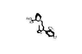 Cc1ccsc1C(=CCCN1CCCC(C(=O)O)C1)c1ccc(Cl)cc1Cl